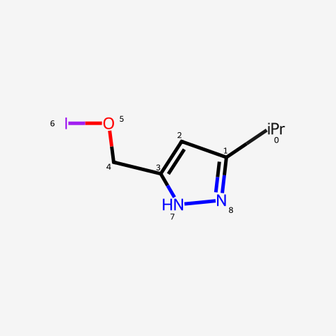 CC(C)c1cc(COI)[nH]n1